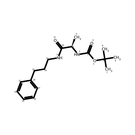 C[C@@H](NC(=O)OC(C)(C)C)C(=O)NCCCc1ccccc1